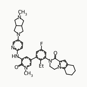 CCc1c(-c2cc(Nc3ccc(N4CC5CN(C)CC5C4)cn3)c(=O)n(C)c2)cc(F)cc1N1CCn2c(cc3c2CCCC3)C1=O